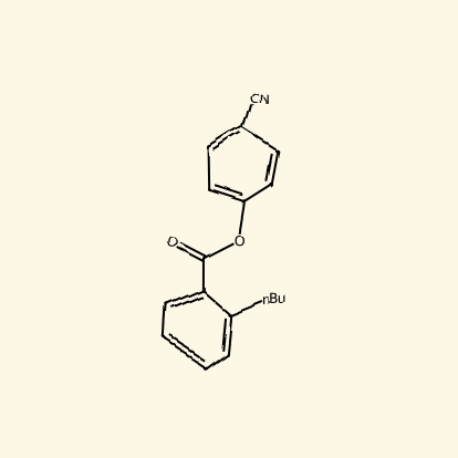 CCCCc1ccccc1C(=O)Oc1ccc(C#N)cc1